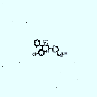 [O-][N+]1=C(c2ccccc2F)c2cc(Cl)ccc2N=C(C2CN(/C=N\O)CCO2)C1